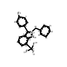 Fc1ccc(-c2c3cccc(C(F)(F)F)c3nn2Cc2ccccc2)cc1